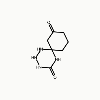 O=C1CCCC2(C1)NNNC(=O)N2